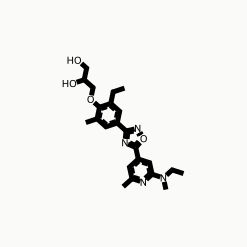 CCc1cc(-c2noc(-c3cc(C)nc(N(C)CC)c3)n2)cc(C)c1OCC(O)CO